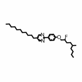 CCCCCCCCCCCc1cnc(-c2ccc(OCC(F)CCC(C)CCCC)cc2)nc1